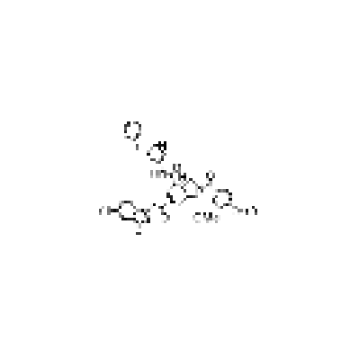 COc1cc(C(=O)N2CC3CN(C(=O)Cc4c[nH]c5cc(Cl)ccc45)CC(C(=O)Nc4cncc(Cc5ccccc5)c4)[C@H]3C2)ccc1OC(C)C